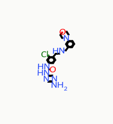 Nc1cnc(NC(=O)Nc2ccc(CCNCc3cccc(N4CCOCC4)c3)c(Cl)c2)cn1